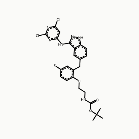 CC(C)(C)OC(=O)NCCOc1ccc(F)cc1Cc1ccc2[nH]nc(Nc3cc(Cl)nc(Cl)n3)c2c1